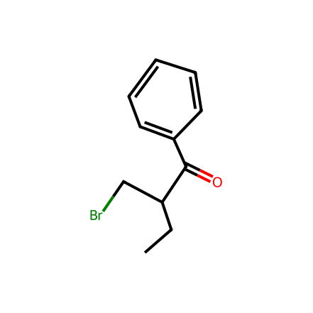 CCC(CBr)C(=O)c1ccccc1